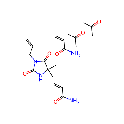 C=CC(N)=O.C=CC(N)=O.C=CCN1C(=O)NC(C)(C)C1=O.CC(C)=O.CC(C)=O